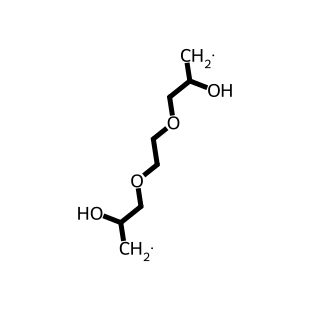 [CH2]C(O)COCCOCC([CH2])O